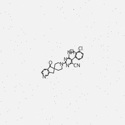 N#Cc1nc(N2CCC3(CC2)Cc2cnccc2C3=O)nc(N)c1-c1cccc(Cl)c1Cl